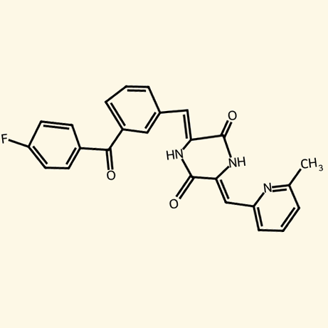 Cc1cccc(C=c2[nH]c(=O)c(=Cc3cccc(C(=O)c4ccc(F)cc4)c3)[nH]c2=O)n1